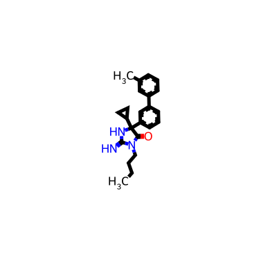 CCCCN1C(=N)NC(c2cccc(-c3cccc(C)c3)c2)(C2CC2)C1=O